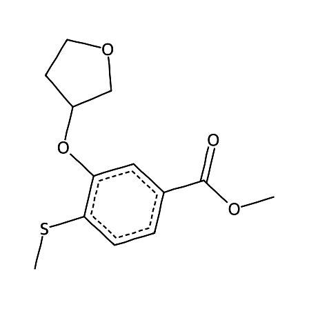 COC(=O)c1ccc(SC)c(OC2CCOC2)c1